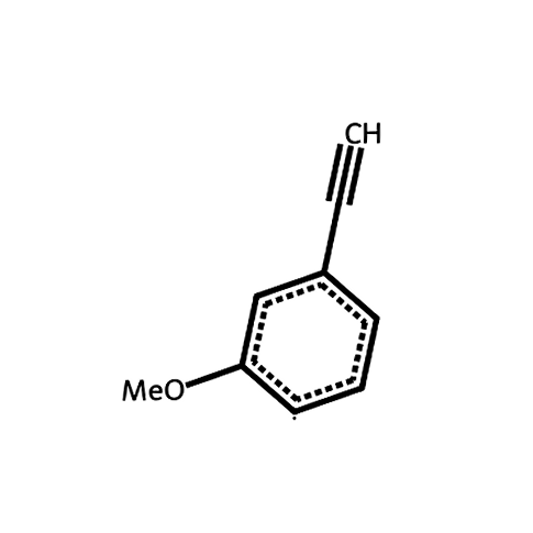 C#Cc1cc[c]c(OC)c1